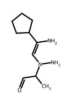 CC(C=O)N(N)/C=C(\N)C1CCCC1